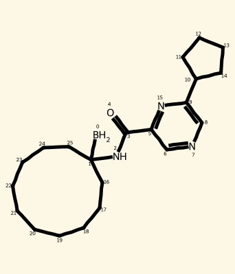 BC1(NC(=O)c2cncc(C3CCCC3)n2)CCCCCCCCCC1